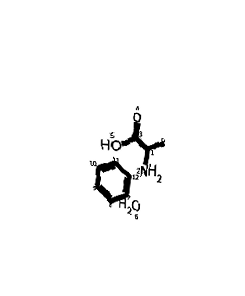 CC(N)C(=O)O.O.c1ccccc1